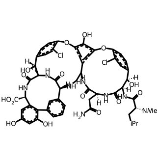 CN[C@H](CC(C)C)C(=O)N[C@H]1C(=O)N[C@@H](CC(N)=O)C(=O)N[C@H]2CN[C@H]3C(=O)N[C@H](C(=O)N[C@H](C(=O)O)c4cc(O)cc(O)c4-c4cccc3c4)[C@H](O)c3ccc(c(Cl)c3)Oc3cc2cc(c3O)Oc2ccc(cc2Cl)[C@H]1O